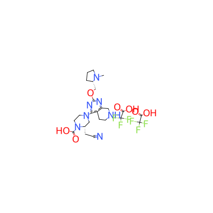 CN1CCC[C@H]1COc1nc2c(c(N3CCN(C(=O)O)[C@@H](CC#N)C3)n1)CCNC2.O=C(O)C(F)(F)F.O=C(O)C(F)(F)F